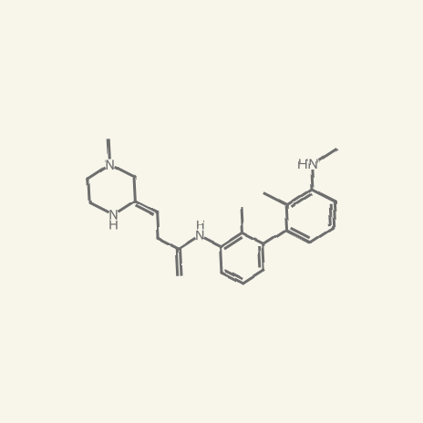 C=C(C/C=C1/CN(C)CCN1)Nc1cccc(-c2cccc(NC)c2C)c1C